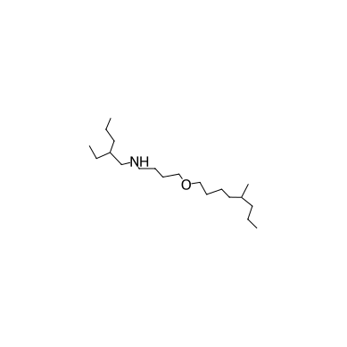 CCCC(C)CCCCOCCCCNCC(CC)CCC